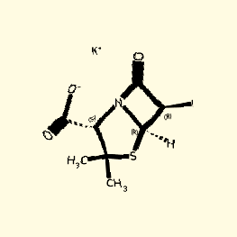 CC1(C)S[C@@H]2[C@H](I)C(=O)N2[C@H]1C(=O)[O-].[K+]